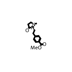 COC(=O)c1ccc(CCN2C(=O)CCN2C)cc1